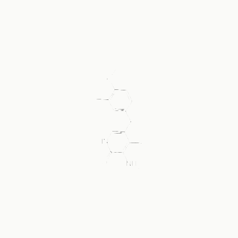 COc1ccc(Cc2c[nH]c(=O)c(N)c2C)cc1C